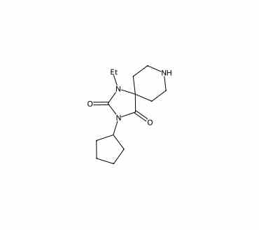 CCN1C(=O)N(C2CCCC2)C(=O)C12CCNCC2